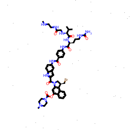 CNCCNC(=O)CN[C@H](C(=O)N[C@@H](CCCNC(N)=O)C(=O)Nc1ccc(C(=O)Nc2ccc3[nH]c(C(=O)N4C[C@@H](CBr)c5c4cc(OC(=O)N4CCN(C)CC4)c4ccccc54)cc3c2)cc1)C(C)C